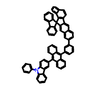 c1ccc(-n2c3ccccc3c3cc(-c4c5ccccc5c(-c5cccc(-c6ccc7cc8c(cc7c6)C6(c7ccccc7-c7ccccc76)c6c-8ccc7ccccc67)c5)c5ccccc45)ccc32)cc1